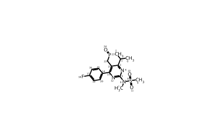 CC(C)c1nc(N(C)S(C)(=O)=O)nc(-c2ccc(F)cc2)c1CP=O